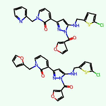 O=C(c1ccoc1)n1nc(-c2cccn(Cc3ccccn3)c2=O)cc1NCc1ccc(Cl)s1.O=C(c1ccoc1)n1nc(-c2cccn(Cc3ccco3)c2=O)cc1NCc1ccc(Cl)s1